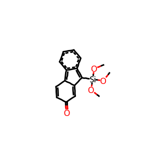 CO[Si](OC)(OC)C1=c2ccccc2=C2C=CC(=O)C=C21